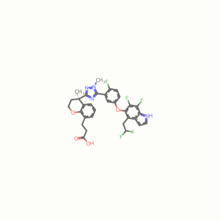 Cn1nc([C@]2(C)CCOc3c(CCC(=O)O)cccc32)nc1-c1cc(Oc2c(F)c(F)c3[nH]ccc3c2CC(F)F)ccc1F